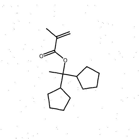 C=C(C)C(=O)OC(C)(C1CCCC1)C1CCCC1